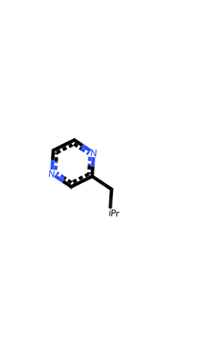 CC(C)Cc1[c]nccn1